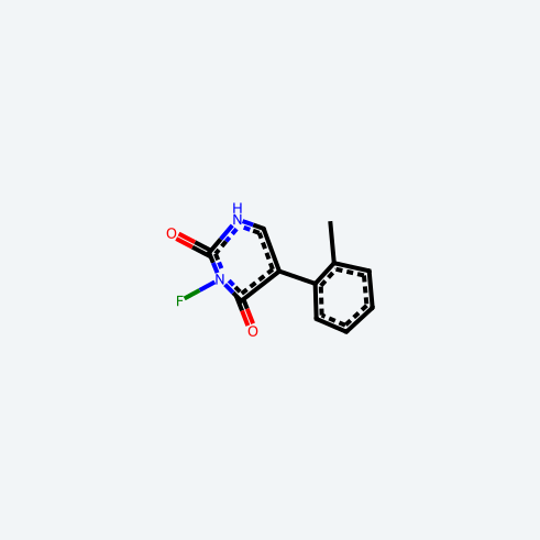 Cc1ccccc1-c1c[nH]c(=O)n(F)c1=O